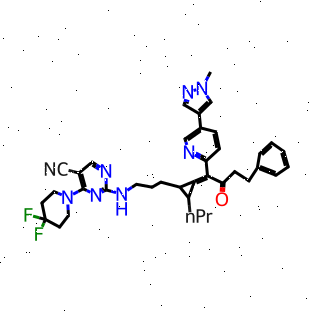 CCCC1/C(=C(\C(=O)CCc2ccccc2)c2ccc(-c3cnn(C)c3)cn2)C1CCCNc1ncc(C#N)c(N2CCC(F)(F)CC2)n1